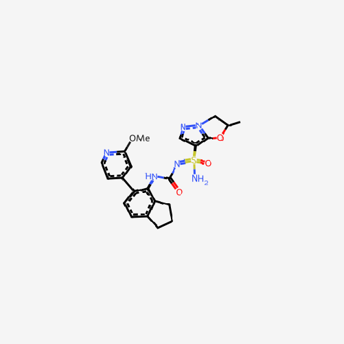 COc1cc(-c2ccc3c(c2NC(=O)N=S(N)(=O)c2cnn4c2OC(C)C4)CCC3)ccn1